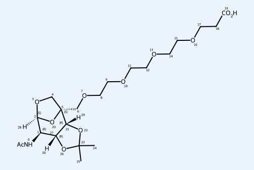 CC(=O)N[C@H]1[C@H]2OC[C@](COCCOCCOCCOCCC(=O)O)(O2)[C@@H]2OC(C)(C)O[C@H]12